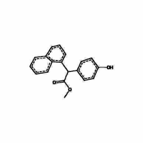 COC(=O)C(c1ccc(O)cc1)c1cccc2ccccc12